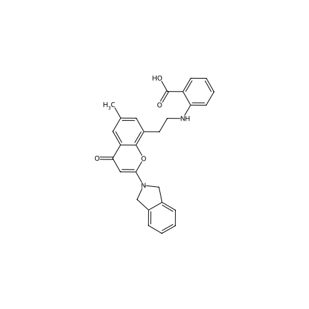 Cc1cc(CCNc2ccccc2C(=O)O)c2oc(N3Cc4ccccc4C3)cc(=O)c2c1